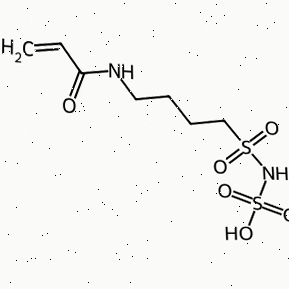 C=CC(=O)NCCCCS(=O)(=O)NS(=O)(=O)O